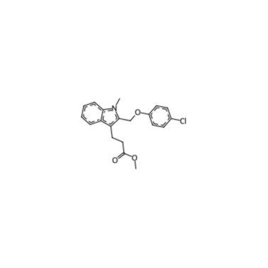 COC(=O)CCc1c(COc2ccc(Cl)cc2)n(C)c2ccccc12